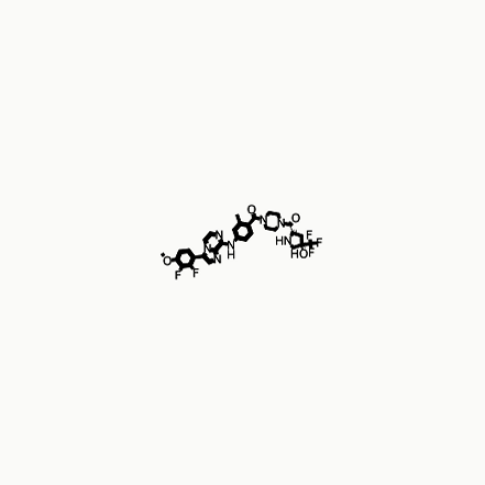 COc1ccc(-c2cnc3c(Nc4ccc(C(=O)N5CCN(C(=O)[C@@H]6C[C@@](O)(C(F)(F)F)CN6)CC5)c(C)c4)nccn23)c(F)c1F